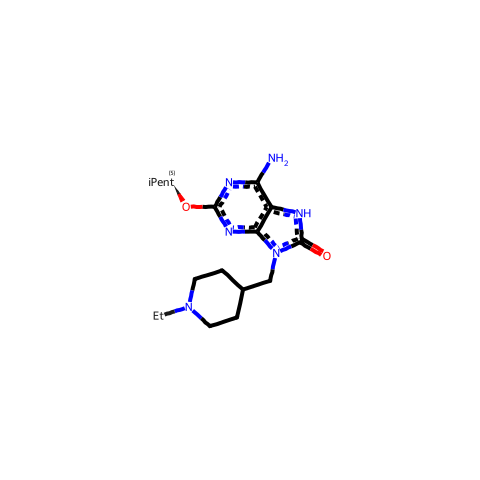 CCC[C@H](C)Oc1nc(N)c2[nH]c(=O)n(CC3CCN(CC)CC3)c2n1